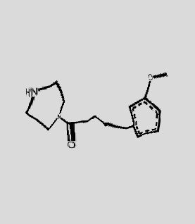 COc1cccc(CCC(=O)N2CCNCC2)c1